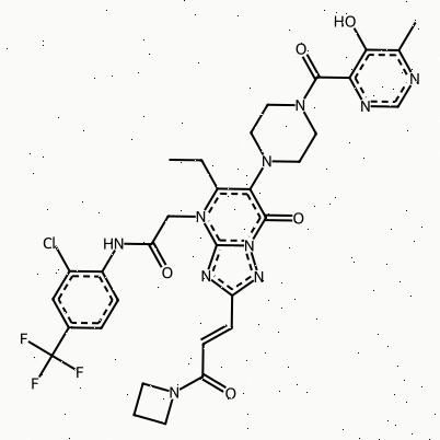 CCc1c(N2CCN(C(=O)c3ncnc(C)c3O)CC2)c(=O)n2nc(/C=C/C(=O)N3CCC3)nc2n1CC(=O)Nc1ccc(C(F)(F)F)cc1Cl